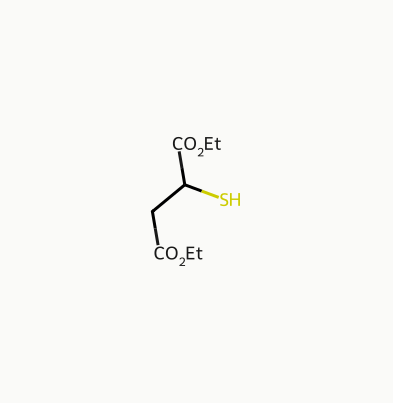 CCOC(=O)CC(S)C(=O)OCC